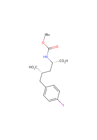 CC(C)(C)OC(=O)N[C@@H](C[C@H](Cc1ccc(I)cc1)C(=O)O)C(=O)O